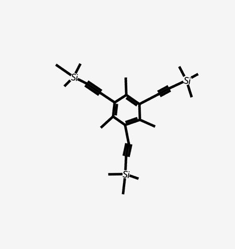 Cc1c(C#C[Si](C)(C)C)c(C)c(C#C[Si](C)(C)C)c(C)c1C#C[Si](C)(C)C